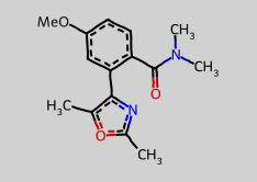 COc1ccc(C(=O)N(C)C)c(-c2nc(C)oc2C)c1